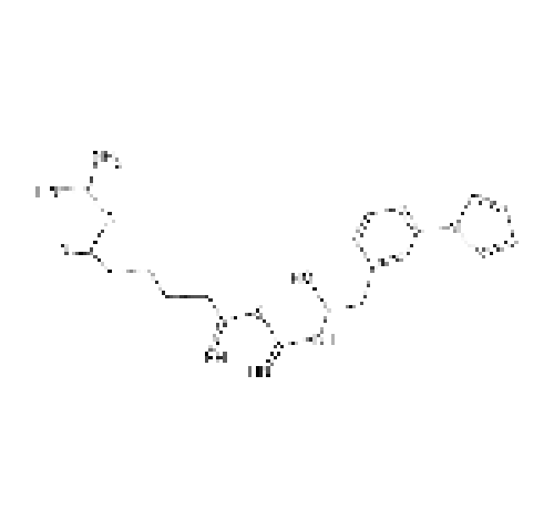 N=C(N)SC(=N)CCCCC(=N)SC(=N)NC(O)Cc1cccc(-n2cccc2)c1